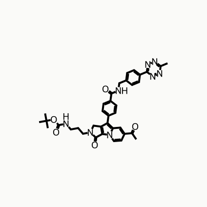 CC(=O)c1ccn2c3c(c(-c4ccc(C(=O)NCc5ccc(-c6nnc(C)nn6)cc5)cc4)c2c1)CN(CCCNC(=O)OC(C)(C)C)C3=O